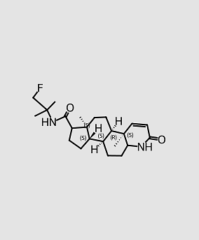 CC(C)(CF)NC(=O)C1CC[C@H]2[C@@H]3CCC4NC(=O)C=C[C@]4(C)[C@@H]3CC[C@]12C